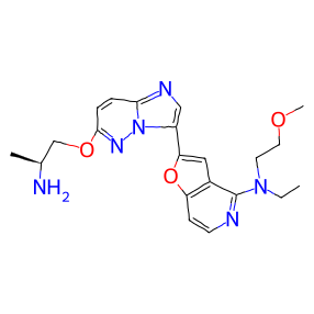 CCN(CCOC)c1nccc2oc(-c3cnc4ccc(OC[C@H](C)N)nn34)cc12